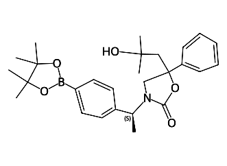 C[C@@H](c1ccc(B2OC(C)(C)C(C)(C)O2)cc1)N1CC(CC(C)(C)O)(c2ccccc2)OC1=O